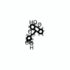 O=C(C=C1c2ccccc2C(=O)c2c(O)cccc21)c1ccc(O)c(O)c1